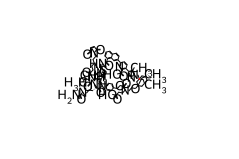 Cc1c(-c2ccc(-c3ccc4cccc(C(=O)Nc5nc6ccccc6s5)c4c3)nc2C(=O)O)cnn1CC12CC3(C)CC(OCCN(CCC(=O)O)C(=O)OCc4ccc(NC(=O)[C@H](CCCNC(N)=O)NC(=O)[C@@H](NC(=O)CCCCCN5C(=O)C=CC5=O)C(C)C)cc4)(C1)C[C@](C)(C3)C2